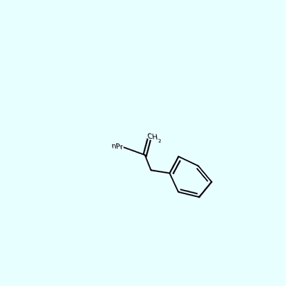 C=C(CCC)Cc1ccccc1